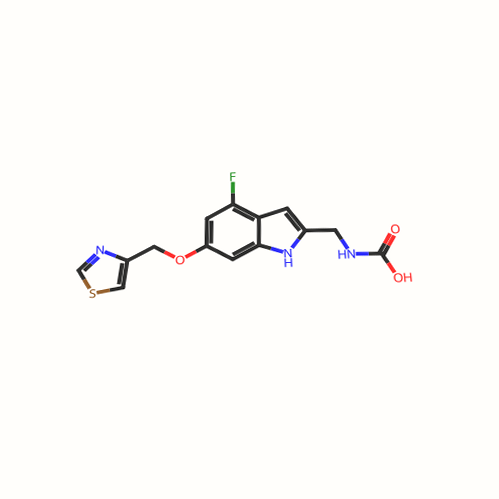 O=C(O)NCc1cc2c(F)cc(OCc3cscn3)cc2[nH]1